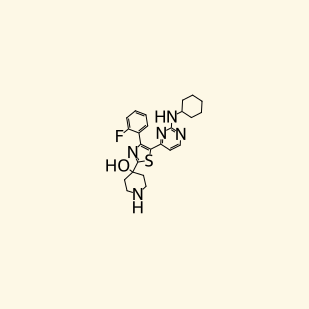 OC1(c2nc(-c3ccccc3F)c(-c3ccnc(NC4CCCCC4)n3)s2)CCNCC1